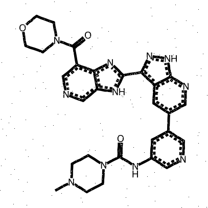 CN1CCN(C(=O)Nc2cncc(-c3cnc4[nH]nc(-c5nc6c(C(=O)N7CCOCC7)cncc6[nH]5)c4c3)c2)CC1